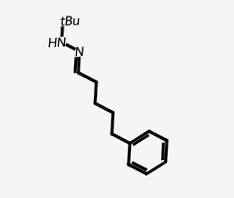 CC(C)(C)NN=CCCCCc1ccccc1